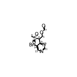 CS(=O)(=O)C(COC=O)c1ncncc1Br